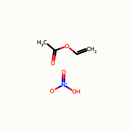 C=COC(C)=O.O=[N+]([O-])O